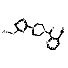 COc1ccnc(N2CCN(C(=O)c3ncccc3C#N)CC2)n1